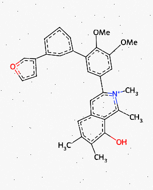 COc1cc(-c2cc3cc(C)c(C)c(O)c3c(C)[n+]2C)cc(-c2cccc(-c3ccoc3)c2)c1OC